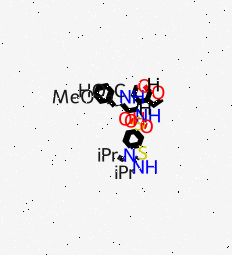 COc1cccc(C[C@H](NC(=O)O)[C@@H](O)C(NS(=O)(=O)c2ccc3c(c2)SC(NC(C)C)N3CC(C)C)[C@H]2CCO[C@@H]3OCC[C@@H]32)c1